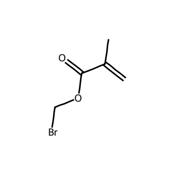 C=C(C)C(=O)OCBr